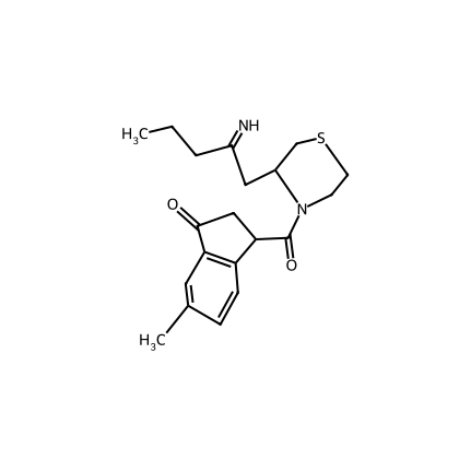 CCCC(=N)CC1CSCCN1C(=O)C1CC(=O)c2cc(C)ccc21